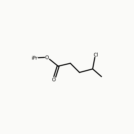 CC(Cl)CCC(=O)OC(C)C